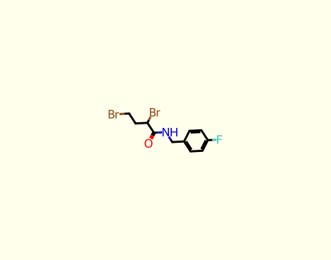 O=C(NCc1ccc(F)cc1)C(Br)CCBr